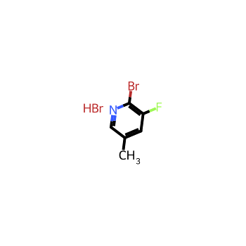 Br.Cc1cnc(Br)c(F)c1